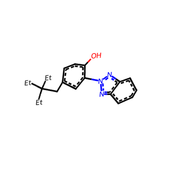 CCC(CC)(CC)Cc1ccc(O)c(-n2nc3ccccc3n2)c1